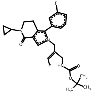 CC(C)(C)OC(=O)NCC(=CF)Cn1cc2c(c1-c1cccc(F)c1)CCN(C1CC1)C2=O